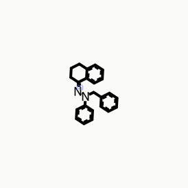 c1ccc(CN(/N=C2/CCCc3ccccc32)c2ccccc2)cc1